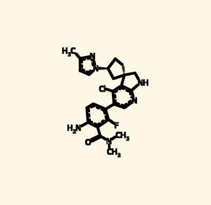 Cc1ccn([C@H]2CC[C@@]3(CNc4ncc(-c5ccc(N)c(C(=O)N(C)C)c5F)c(Cl)c43)C2)n1